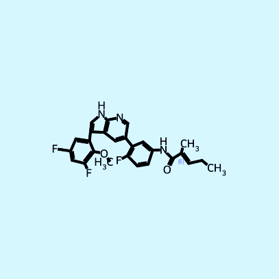 CC/C=C(\C)C(=O)Nc1ccc(F)c(-c2cnc3[nH]cc(-c4cc(F)cc(F)c4OC)c3c2)c1